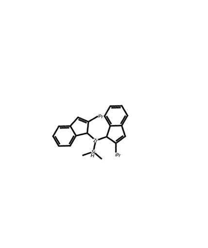 CC(C)C1=Cc2ccccc2[CH]1[Zr]([CH]1C(C(C)C)=Cc2ccccc21)[SiH](C)C